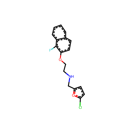 Fc1c(OCCNCc2ccc(Cl)o2)ccc2ccccc12